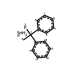 CC(F)(c1ccccc1)c1ccccc1.[SnH2]